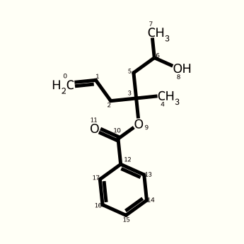 C=CCC(C)(CC(C)O)OC(=O)c1ccccc1